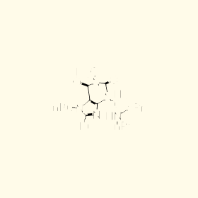 CCCCn1c(CC)nc2c1c(=O)n(C)c(=O)n2C.CCCNCCC